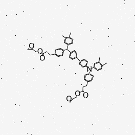 Cc1ccc(C(c2ccc(CCC(=O)OCC3CO3)cc2)c2ccc(-c3ccc(N(c4ccc(CCC(=O)OCC5CO5)cc4)c4ccc(C)c(C)c4)cc3)cc2)cc1C